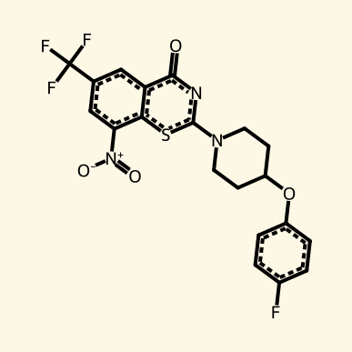 O=c1nc(N2CCC(Oc3ccc(F)cc3)CC2)sc2c([N+](=O)[O-])cc(C(F)(F)F)cc12